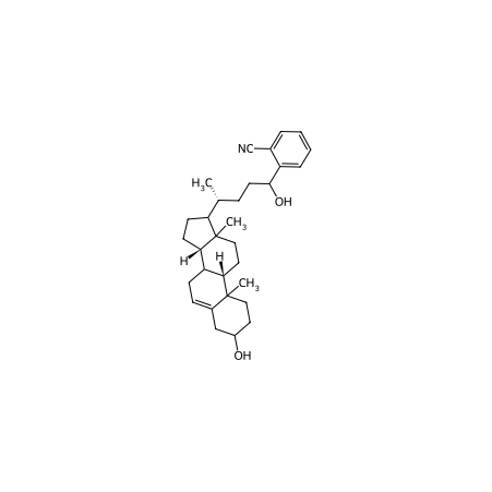 C[C@H](CCC(O)c1ccccc1C#N)C1CC[C@H]2C3CC=C4CC(O)CCC4(C)[C@H]3CCC12C